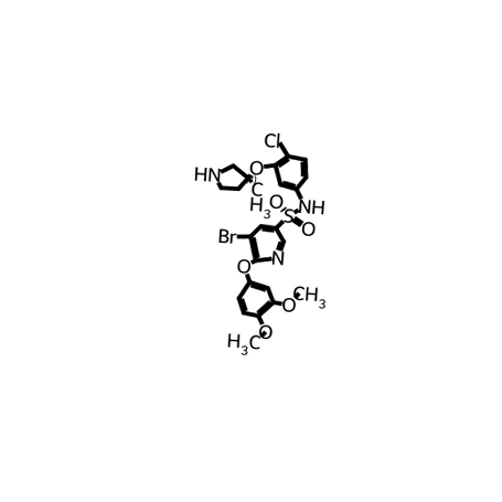 COc1ccc(Oc2ncc(S(=O)(=O)Nc3ccc(Cl)c(O[C@]4(C)CCNC4)c3)cc2Br)cc1OC